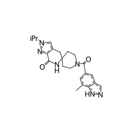 Cc1cc(C(=O)N2CCC3(CC2)Cc2cn(C(C)C)nc2C(=O)N3)cc2cn[nH]c12